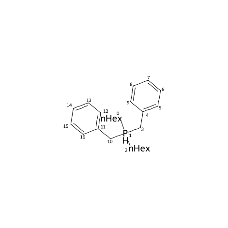 CCCCCC[PH](CCCCCC)(Cc1ccccc1)Cc1ccccc1